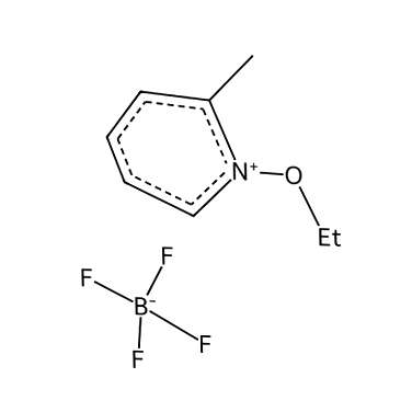 CCO[n+]1ccccc1C.F[B-](F)(F)F